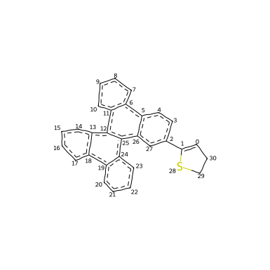 C1=C(c2ccc3c4ccccc4c4c5ccccc5c5ccccc5c4c3c2)SCC1